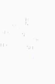 CC(C)C(CN/C=C1/C=CC=CC1)N1C(=O)NCC1S